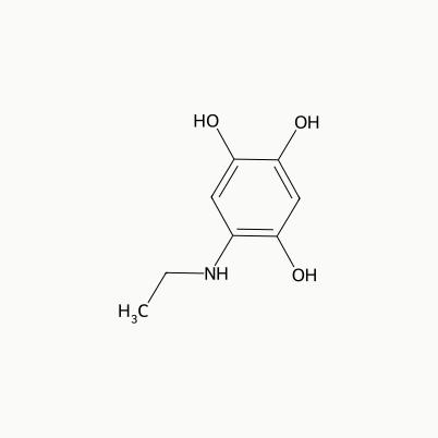 CCNc1cc(O)c(O)cc1O